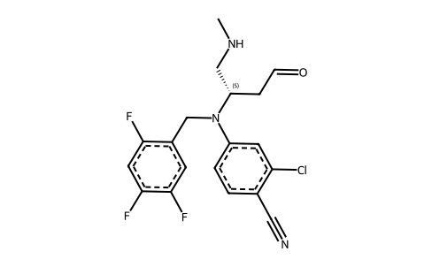 CNC[C@H](CC=O)N(Cc1cc(F)c(F)cc1F)c1ccc(C#N)c(Cl)c1